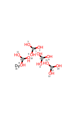 OB(O)O.OB(O)O.OB(O)O.OB(O)O.[Dy]